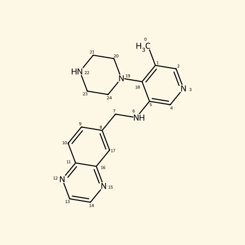 Cc1cncc(NCc2ccc3nccnc3c2)c1N1CCNCC1